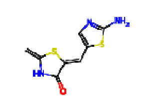 C=c1[nH]c(=O)/c(=C/c2cnc(N)s2)s1